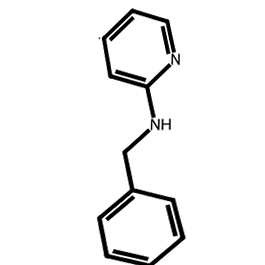 [c]1ccnc(NCc2ccccc2)c1